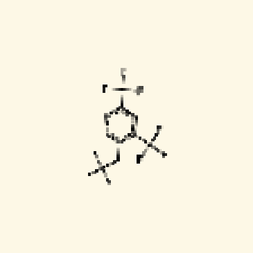 CC(C)(C)Cc1ccc(C(F)(F)F)cc1C(F)(F)F